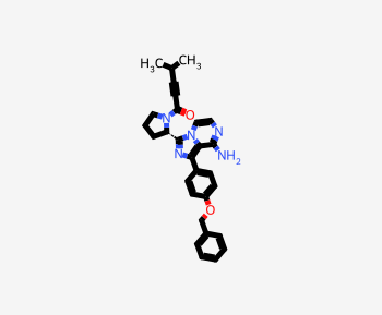 CC(C)C#CC(=O)N1CCC[C@H]1c1nc(-c2ccc(OCc3ccccc3)cc2)c2c(N)nccn12